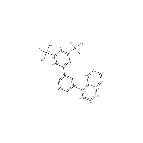 CC(C)(C)c1nc(-c2cccc(-c3nccc4ccccc34)c2)nc(C(C)(C)C)n1